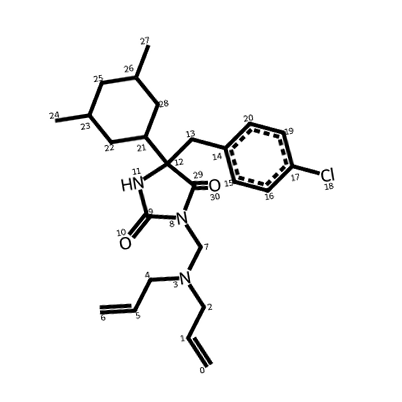 C=CCN(CC=C)CN1C(=O)NC(Cc2ccc(Cl)cc2)(C2CC(C)CC(C)C2)C1=O